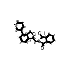 O=C1c2ccccc2C(O)N1CC1OCc2c(-c3cccnc3)cccc21